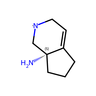 N[C@@]12CCCC1=CC[N]C2